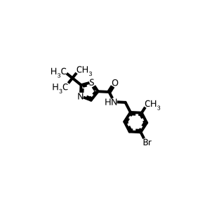 Cc1cc(Br)ccc1CNC(=O)c1cnc(C(C)(C)C)s1